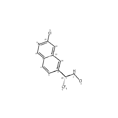 FC(F)(F)[C@@H](NCl)c1ccc2cnc(Cl)cc2c1